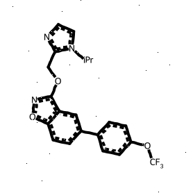 CC(C)n1ccnc1COc1noc2ccc(-c3ccc(OC(F)(F)F)cc3)cc12